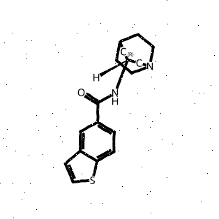 O=C(N[C@@H]1CC2CCN(CC2)C1)c1ccc2sccc2c1